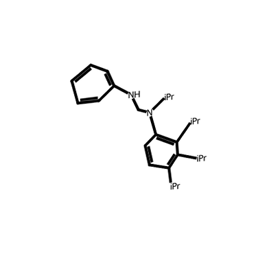 CC(C)c1ccc(N(CNc2ccccc2)C(C)C)c(C(C)C)c1C(C)C